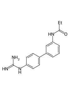 CCC(=O)Nc1cccc(-c2ccc(NC(=N)N)cc2)c1